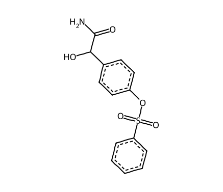 NC(=O)C(O)c1ccc(OS(=O)(=O)c2ccccc2)cc1